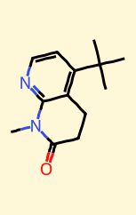 CN1C(=O)CCc2c(C(C)(C)C)ccnc21